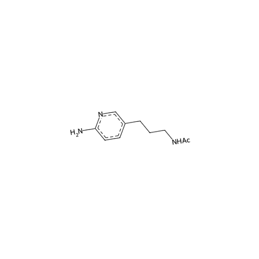 CC(=O)NCCCc1ccc(N)nc1